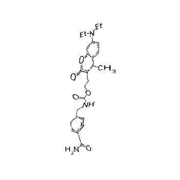 CCN(CC)c1ccc2c(C)c(CCOC(=O)NCc3ccc(C(N)=O)cc3)c(=O)oc2c1